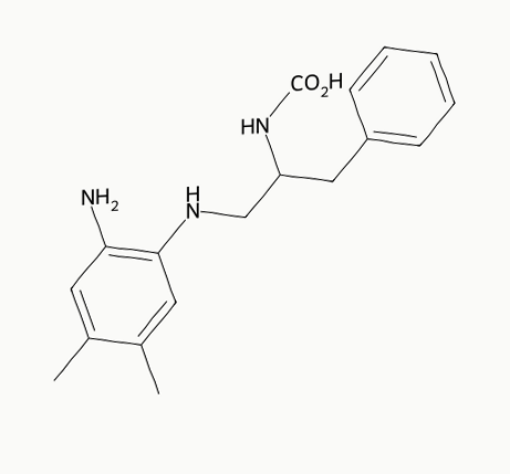 Cc1cc(N)c(NCC(Cc2ccccc2)NC(=O)O)cc1C